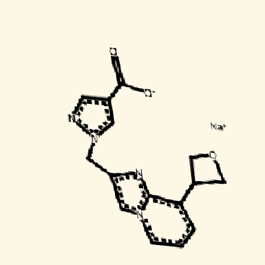 O=C([O-])c1cnn(Cc2cn3cccc(C4COC4)c3n2)c1.[Na+]